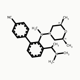 CC(c1cccc(-c2ccc(C#N)cc2)c1N(C)N1C[C@@H](C)O[C@@H](C)C1)N(C)C